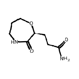 NC(=O)CC[C@@H]1OCCCNC1=O